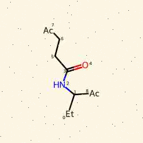 CCC(NC(=O)CCC(C)=O)C(C)=O